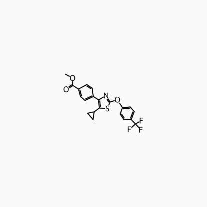 COC(=O)c1ccc(-c2nc(Oc3ccc(C(F)(F)F)cc3)sc2C2CC2)cc1